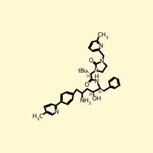 Cc1ccc(-c2ccc(CC(N)C[C@H](O)[C@H](Cc3ccccc3)NC(=O)[C@@H](N3CCN(Cc4cccc(C)n4)C3=O)C(C)(C)C)cc2)nc1